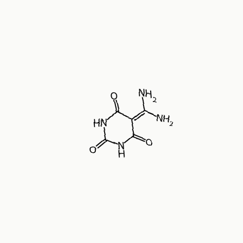 NC(N)=C1C(=O)NC(=O)NC1=O